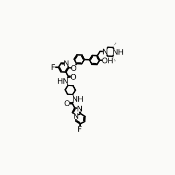 C[C@@H]1CN(Cc2cc(-c3cccc(Oc4ncc(F)cc4C(=O)N[C@H]4CC[C@@H](NC(=O)c5cn6cc(F)ccc6n5)CC4)c3)ccc2O)C[C@H](C)N1